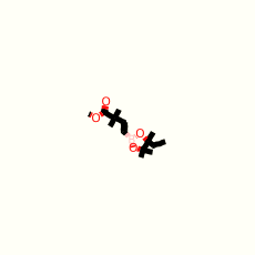 CCC1(C)OB(/C=C/C(C)(C)C(=O)OC)OC1(C)C